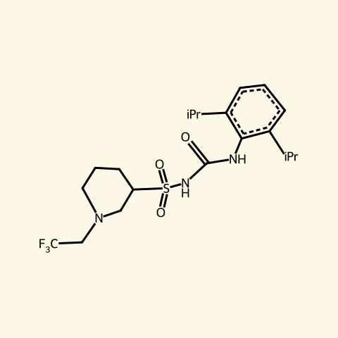 CC(C)c1cccc(C(C)C)c1NC(=O)NS(=O)(=O)C1CCCN(CC(F)(F)F)C1